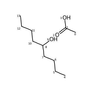 CC(=O)O.CCCCC(O)CCCC